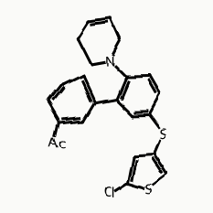 CC(=O)c1cccc(-c2cc(Sc3csc(Cl)c3)ccc2N2CC=CCC2)c1